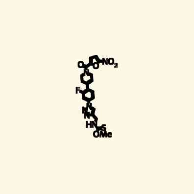 COC(=S)NCc1cn(-c2ccc(C3=CCN(C(=O)c4ccc([N+](=O)[O-])o4)CC3)c(F)c2)nn1